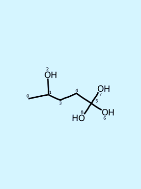 CC(O)CCC(O)(O)O